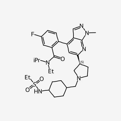 CCN(C(=O)c1cc(F)ccc1-c1cc([C@H]2CCN(CC3CCC(NS(=O)(=O)CC)CC3)C2)nc2c1cnn2C)C(C)C